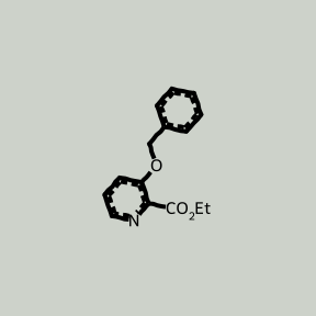 CCOC(=O)c1ncccc1OCc1ccccc1